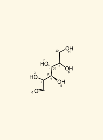 O=CC(O)[C@H](O)[C@H](O)C(O)CO